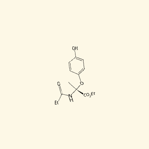 CCOC(=O)[C@](C)(NC(=O)CC)Oc1ccc(O)cc1